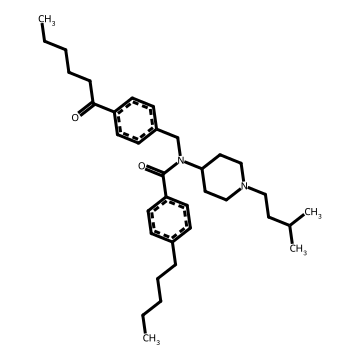 CCCCCC(=O)c1ccc(CN(C(=O)c2ccc(CCCCC)cc2)C2CCN(CCC(C)C)CC2)cc1